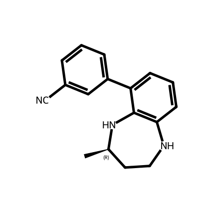 C[C@@H]1CCNc2cccc(-c3cccc(C#N)c3)c2N1